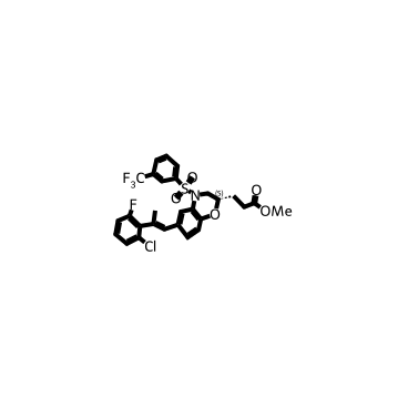 COC(=O)CC[C@H]1CN(S(=O)(=O)c2cccc(C(F)(F)F)c2)c2cc(C=C(C)c3c(F)cccc3Cl)ccc2O1